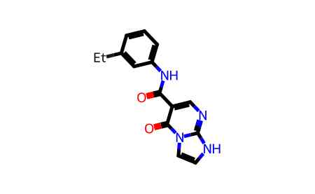 CCc1cccc(NC(=O)c2cnc3[nH]ccn3c2=O)c1